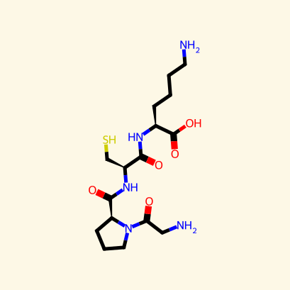 NCCCC[C@H](NC(=O)[C@H](CS)NC(=O)[C@@H]1CCCN1C(=O)CN)C(=O)O